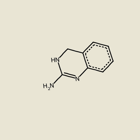 NC1=Nc2ccccc2CN1